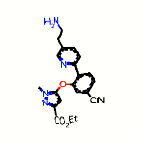 CCOC(=O)c1cc(Oc2cc(C#N)ccc2-c2ccc(CCN)cn2)n(C)n1